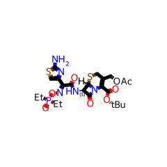 CCP(=O)(CC)ON=C(C(=O)N[C@H]1C(=O)N2C(C(=O)OC(C)(C)C)=C(COC(C)=O)CS[C@H]12)c1csc(N)n1